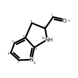 O=CC1Cc2cccnc2N1